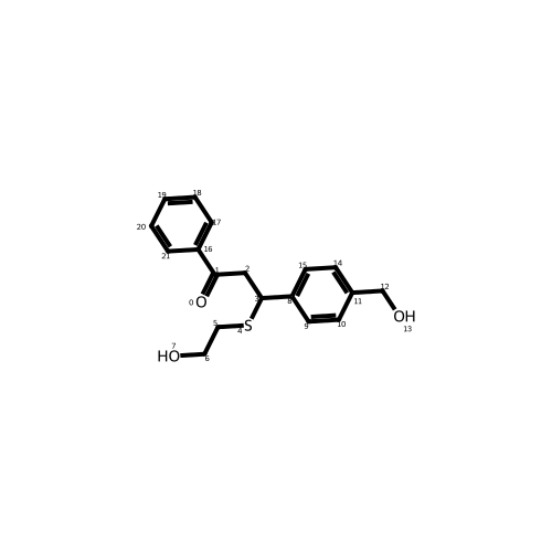 O=C(CC(SCCO)c1ccc(CO)cc1)c1ccccc1